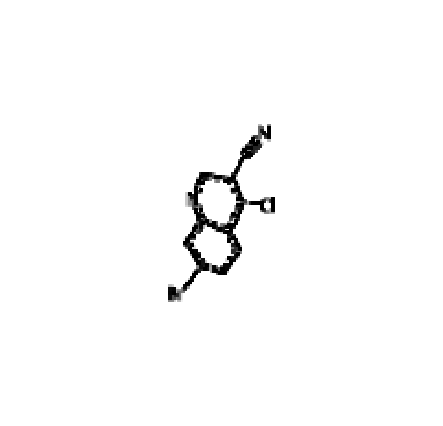 N#Cc1cnc2cc(Br)ccc2c1Cl